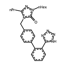 CCCCCCn1nc(CCC)n(Cc2ccc(-c3ccccc3-c3nnn[nH]3)cc2)c1=O